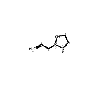 C=CCB1NCCO1